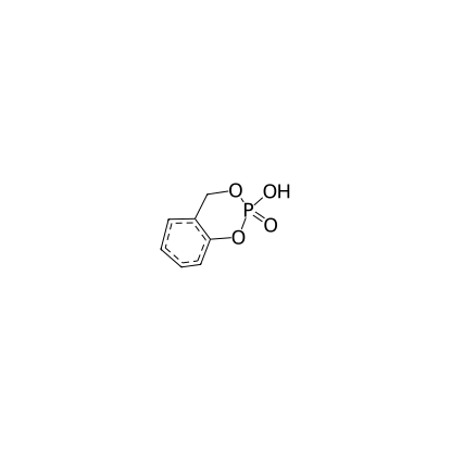 O=P1(O)OCc2ccccc2O1